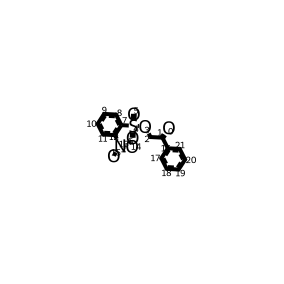 O=C(COS(=O)(=O)c1ccccc1[N+](=O)[O-])c1ccccc1